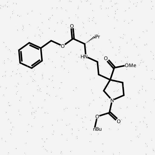 CCCCOC(=O)N1CCC(CCN[C@H](C(=O)OCc2ccccc2)C(C)C)(C(=O)OC)C1